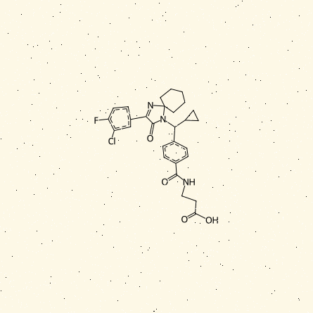 O=C(O)CCNC(=O)c1ccc(C(C2CC2)N2C(=O)C(c3ccc(F)c(Cl)c3)=NC23CCCCC3)cc1